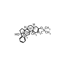 C[C@]12CC=C(O[Si](C)(C)C)C[C@@H]1CC[C@@H]1[C@@H]2CC[C@]2(C)[C@@](O)(c3ccccc3)CC[C@]12O